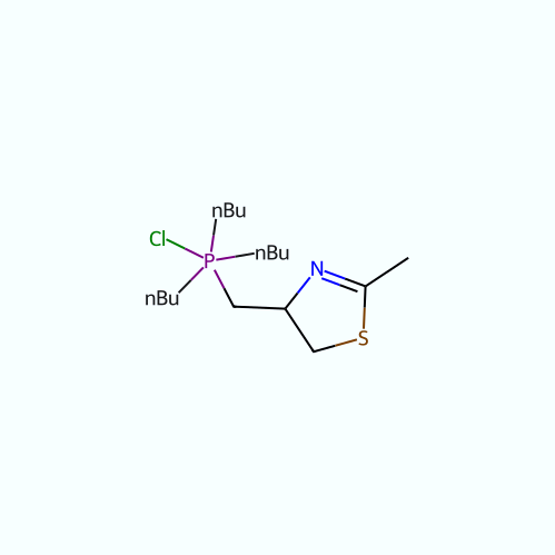 CCCCP(Cl)(CCCC)(CCCC)CC1CSC(C)=N1